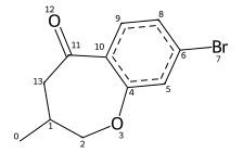 CC1COc2cc(Br)ccc2C(=O)C1